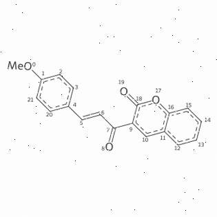 COc1ccc(C=CC(=O)c2cc3ccccc3oc2=O)cc1